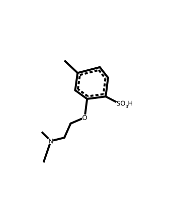 Cc1ccc(S(=O)(=O)O)c(OCCN(C)C)c1